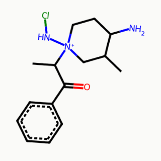 CC1C[N+](NCl)(C(C)C(=O)c2ccccc2)CCC1N